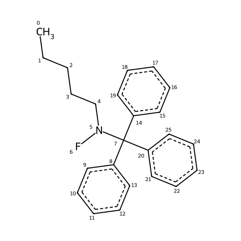 CCCCCN(F)C(c1ccccc1)(c1ccccc1)c1ccccc1